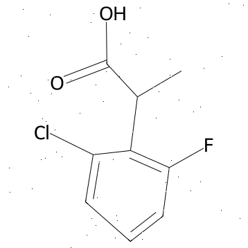 CC(C(=O)O)c1c(F)cccc1Cl